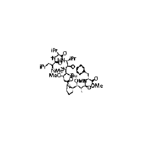 CC[C@H](C)[C@@H]([C@@H](CC(=O)N1CCC[C@H]1[C@H](OC)[C@@H](C)C(=O)N[C@@H](Cc1ccccc1)C(=O)OC)OC)N(C)C(=O)[C@@H](NC(=O)[C@H](C(C)C)N(C)C(=O)[C@H](CC(C)C)NC)C(C)C